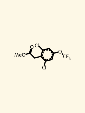 COC(=O)Cc1c(Cl)cc(OC(F)(F)F)cc1Cl